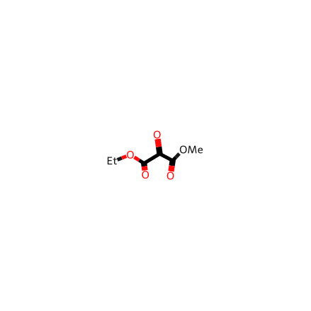 CCOC(=O)C(=O)C(=O)OC